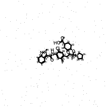 Cn1nc2ccccc2c1C(=O)Nc1cc(F)c(CC(=O)C(F)(OC2CCC(C(=O)O)CC2)N2CCCC2)cc1Cl